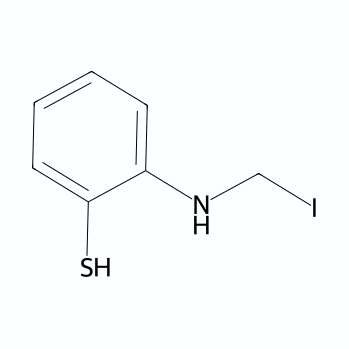 Sc1ccccc1NCI